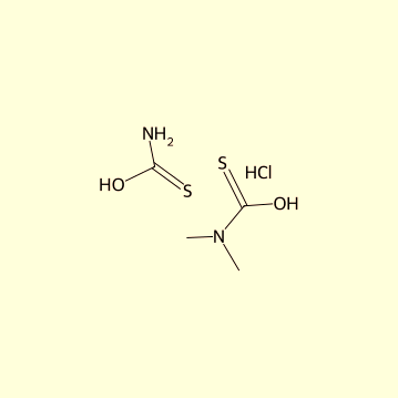 CN(C)C(O)=S.Cl.NC(O)=S